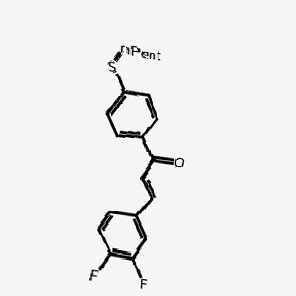 CCCCCSc1ccc(C(=O)/C=C/c2ccc(F)c(F)c2)cc1